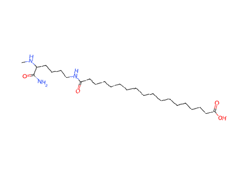 CNC(CCCCNC(=O)CCCCCCCCCCCCCCCCC(=O)O)C(N)=O